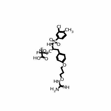 Cc1ccc(S(=O)(=O)N[C@@H](Cc2ccc(OCCCONC(=N)N)cc2)C(=O)O)cc1Cl.O=C(O)C(F)(F)F